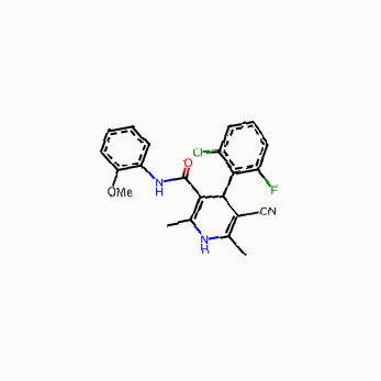 COc1ccccc1NC(=O)C1=C(C)NC(C)=C(C#N)C1c1c(F)cccc1Cl